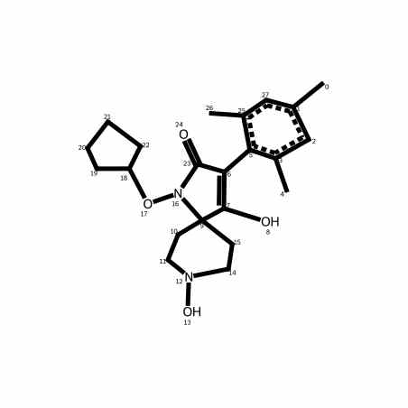 Cc1cc(C)c(C2=C(O)C3(CCN(O)CC3)N(OC3CCCC3)C2=O)c(C)c1